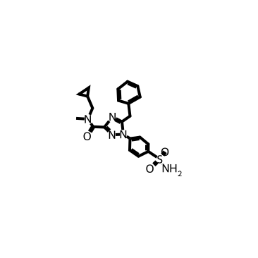 CN(CC1CC1)C(=O)c1nc(Cc2ccccc2)n(-c2ccc(S(N)(=O)=O)cc2)n1